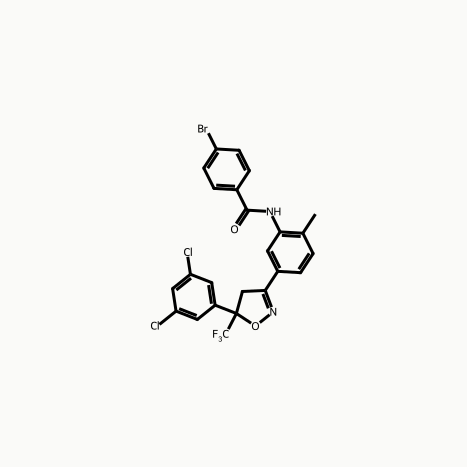 Cc1ccc(C2=NOC(c3cc(Cl)cc(Cl)c3)(C(F)(F)F)C2)cc1NC(=O)c1ccc(Br)cc1